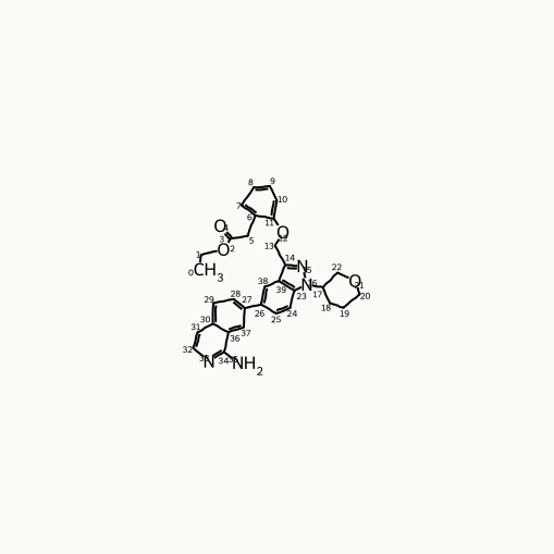 CCOC(=O)Cc1ccccc1OCc1nn(C2CCCOC2)c2ccc(-c3ccc4ccnc(N)c4c3)cc12